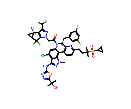 Cn1nc(Nc2nnc(C(C)(C)O)o2)c2c(Cl)ccc(-c3ccc(CCC(C)(C)S(=O)(=O)C4CC4)nc3[C@H](Cc3cc(F)cc(F)c3)NC(=O)Cn3nc(C(F)F)c4c3C(F)(F)C3C[C@H]43)c21